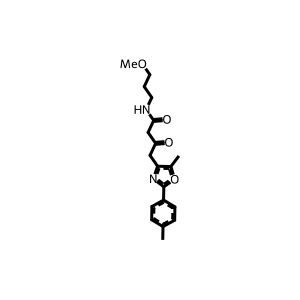 COCCCNC(=O)CC(=O)Cc1nc(-c2ccc(C)cc2)oc1C